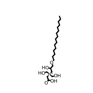 CCCCCCCCCCCCCCCCOCC(O)C[N+](CO)(CO)CC(=O)O